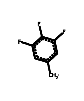 [CH2]c1cc(F)c(F)c(F)c1